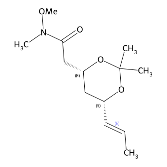 C/C=C/[C@@H]1C[C@H](CC(=O)N(C)OC)OC(C)(C)O1